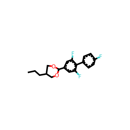 CCCC1COC(c2cc(F)c(-c3ccc(F)cc3)c(F)c2)OC1